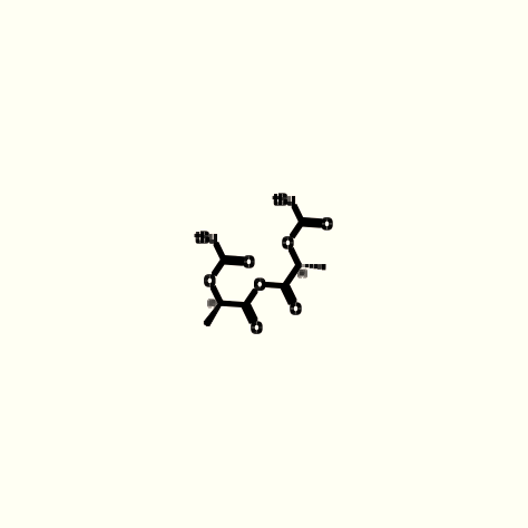 C[C@@H](OC(=O)C(C)(C)C)C(=O)OC(=O)[C@@H](C)OC(=O)C(C)(C)C